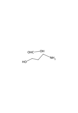 NCCCO.O=CO